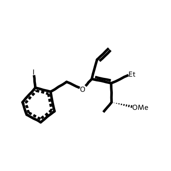 C=C/C(OCc1ccccc1I)=C(\CC)[C@@H](C)OC